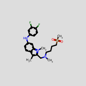 Cc1c(CN(C)CCCCS(C)(=O)=O)n(C)c2cc(Nc3ccc(F)c(F)c3)ccc12